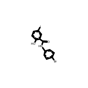 O=C(Nc1ccc(Br)cc1)c1cc(I)ccc1O